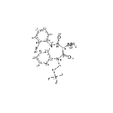 CC(C)(C)CCN1C(=O)C(N)C(=O)N(c2ccccc2F)c2ccccc21